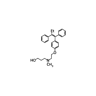 CC/C(=C(\c1ccccc1)c1ccc(OCCN(C)CCCO)cc1)c1ccccc1